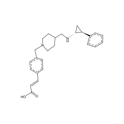 O=C(O)/C=C/c1ccc(CN2CCC(CN[C@@H]3C[C@H]3c3ccccc3)CC2)cc1